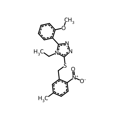 CCn1c(SCc2cc(C)ccc2[N+](=O)[O-])nnc1-c1ccccc1OC